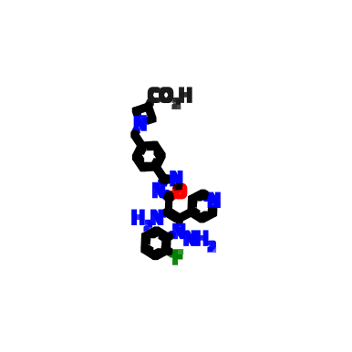 N/C(=C(/c1ccncc1)N(N)c1ccccc1F)c1nc(-c2ccc(CN3CC(C(=O)O)C3)cc2)no1